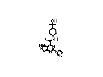 CC(C)(O)C1CCC(NC(=O)c2nc(-n3ccnc3)nc3cn[nH]c23)CC1